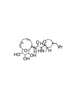 CC(C)C[C@@H]1CCO[C@@H]2[C@H](CN[C@@H]2C(=O)N[C@@H]2C/C=C\C[C@@H](C)SC3OC2C(O)C(O)C3O)C1